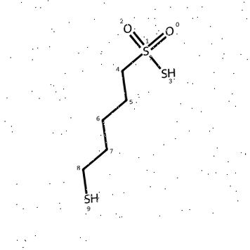 O=S(=O)(S)CCCCCS